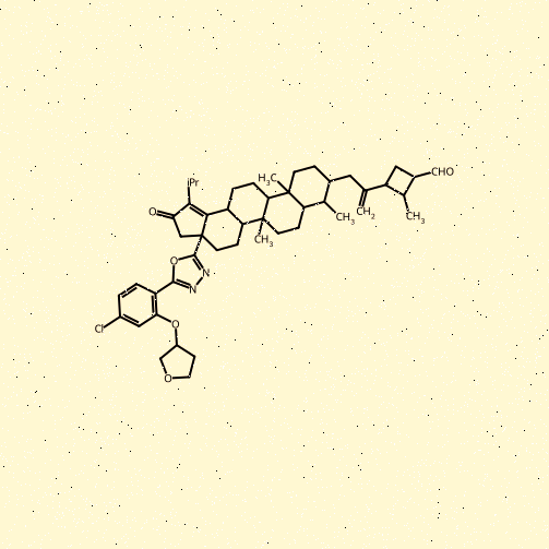 C=C(CC1CCC2(C)C(CCC3(C)C4CCC5(c6nnc(-c7ccc(Cl)cc7OC7CCOC7)o6)CC(=O)C(C(C)C)=C5C4CCC32)C1C)C1CC(C=O)C1C